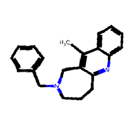 Cc1c2c(nc3ccccc13)CCCN(Cc1ccccc1)C2